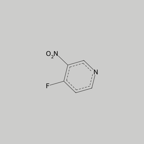 O=[N+]([O-])c1cnccc1F